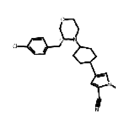 Cn1cc(C2CCC(N3CCOC[C@@H]3Cc3ccc(Cl)cc3)CC2)cc1C#N